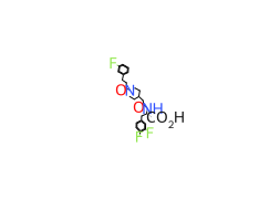 O=C(CC1CCN(C(=O)CCc2cccc(F)c2)CC1)N[C@@H](Cc1ccc(F)c(F)c1)C(=O)O